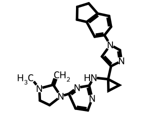 C=C1N(C)CCN1c1ccnc(NC2(c3cn(-c4ccc5c(c4)CCC5)cn3)CC2)n1